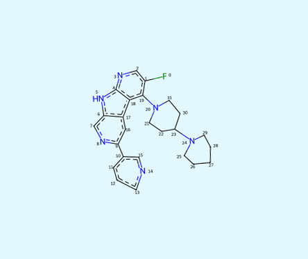 Fc1cnc2[nH]c3cnc(-c4cccnc4)cc3c2c1N1CCC(N2CCCCC2)CC1